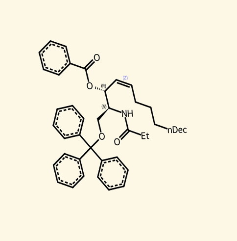 CCCCCCCCCCCCC/C=C\[C@@H](OC(=O)c1ccccc1)[C@H](COC(c1ccccc1)(c1ccccc1)c1ccccc1)NC(=O)CC